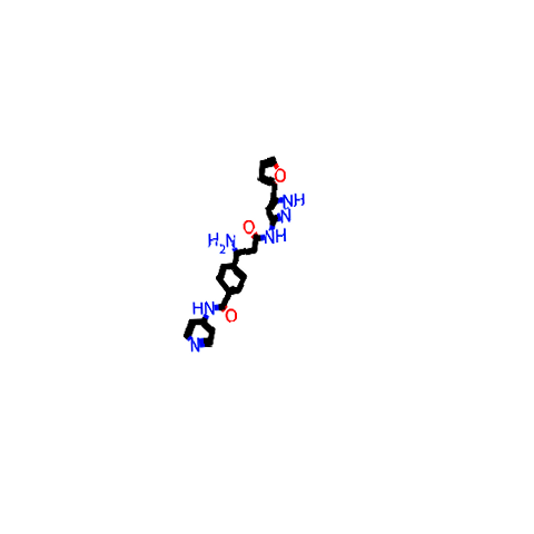 NC(CC(=O)Nc1cc(-c2ccco2)[nH]n1)c1ccc(C(=O)Nc2ccncc2)cc1